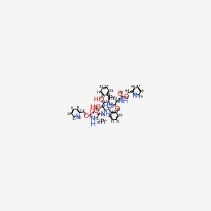 CC(C)[C@H](NC(=O)OCc1ccccn1)C(=O)N[C@@H](Cc1ccccc1)[C@H](O)[C@H](O)[C@H](Cc1ccccc1)NC(=O)[C@@H](NC(=O)OCc1ccccn1)C(C)C